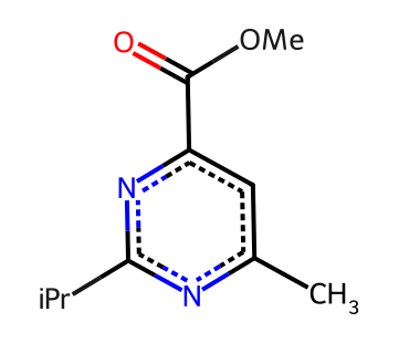 COC(=O)c1cc(C)nc(C(C)C)n1